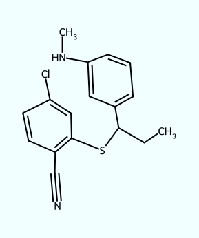 CCC(Sc1cc(Cl)ccc1C#N)c1cccc(NC)c1